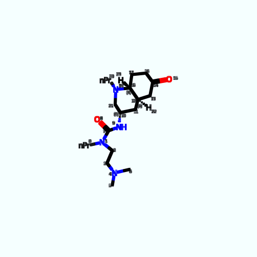 CCCN(CCN(C)C)C(=O)N[C@H]1C[C@@H]2CC(=O)CC[C@H]2N(CCC)C1